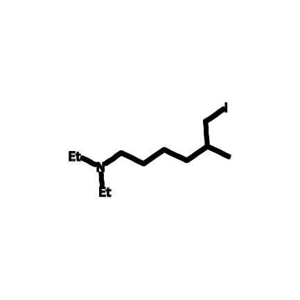 CCN(CC)CCCCC(C)CI